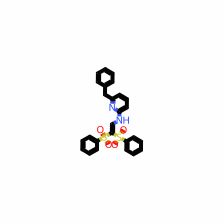 O=S(=O)(C(=CNc1cccc(Cc2ccccc2)n1)S(=O)(=O)c1ccccc1)c1ccccc1